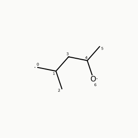 [CH2]C(C)CC(C)[O]